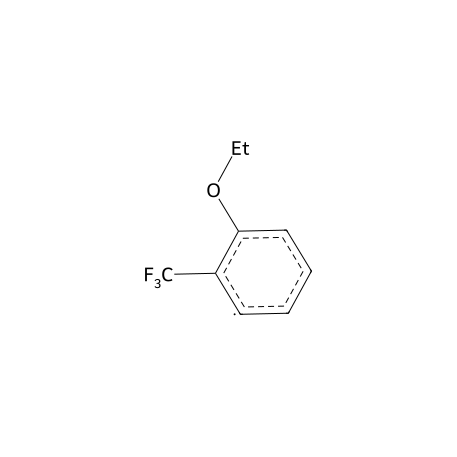 CCOc1ccc[c]c1C(F)(F)F